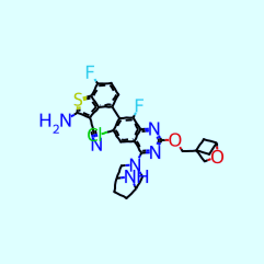 N#Cc1c(N)sc2c(F)ccc(-c3c(Cl)cc4c(N5CC6CCC(C5)N6)nc(OCC56COC(C5)C6)nc4c3F)c12